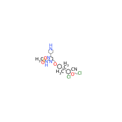 CC(C)(c1ccc(OCc2cc(C3CCNCC3)nc(NS(C)(=O)=O)n2)cc1)c1cc(Cl)c(OCCCl)c(C#N)c1